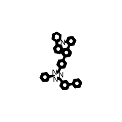 c1c(-c2ccc(-c3nc(-c4ccccc4)nc(-c4cccc(-c5ccccc5)c4)n3)cc2)ccc(-c2ccccc2-n2c3c(c4ccccc42)C=CCC3)c#1